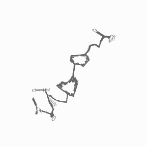 CN(C)C(=O)[C@H](Cc1ccc(-c2ccc(CCC(=O)O)cc2)cc1)NCl